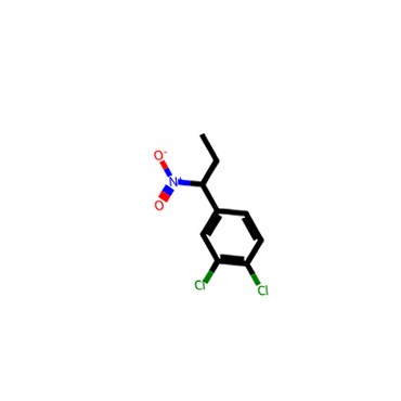 CCC(c1ccc(Cl)c(Cl)c1)[N+](=O)[O-]